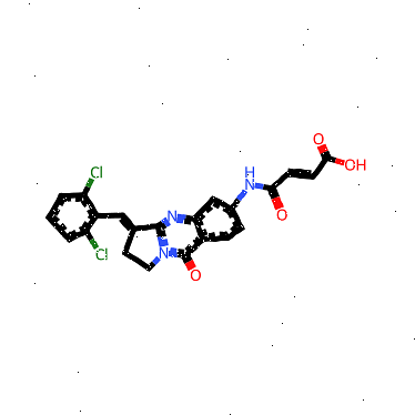 O=C(O)/C=C/C(=O)Nc1ccc2c(=O)n3c(nc2c1)/C(=C/c1c(Cl)cccc1Cl)CC3